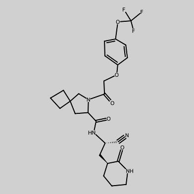 N#C[C@H](C[C@@H]1CCCNC1=O)NC(=O)C1CC2(CCC2)CN1C(=O)COc1ccc(OC(F)(F)F)cc1